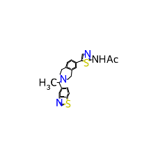 CC(=O)Nc1ncc(-c2ccc3c(c2)CCN(C(C)c2ccc4scnc4c2)CC3)s1